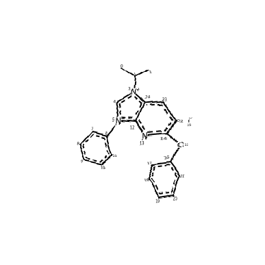 CC(C)[n+]1cn(-c2ccccc2)c2nc(Oc3ccccc3)ccc21.[I-]